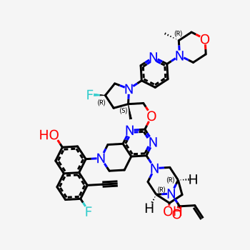 C#Cc1c(F)ccc2cc(O)cc(N3CCc4c(nc(OC[C@]5(C)C[C@@H](F)CN5c5ccc(N6CCOC[C@H]6C)nc5)nc4N4C[C@H]5CC(O)[C@@H](C4)N5C(=O)C=C)C3)c12